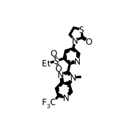 CCS(=O)(=O)c1cc(N2CCSC2=O)cnc1-c1nc2cc(C(F)(F)F)ncc2n1C